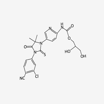 CC1(C)C(=O)N(c2ccc(C#N)c(Cl)c2)C(=S)N1c1ccc(NC(=O)OCC(O)CO)nc1